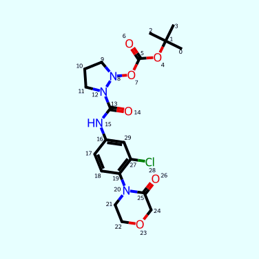 CC(C)(C)OC(=O)ON1CCCN1C(=O)Nc1ccc(N2CCOCC2=O)c(Cl)c1